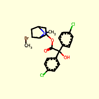 CBr.CN1C2CCC1C(OC(=O)C(O)(c1ccc(Cl)cc1)c1ccc(Cl)cc1)C2